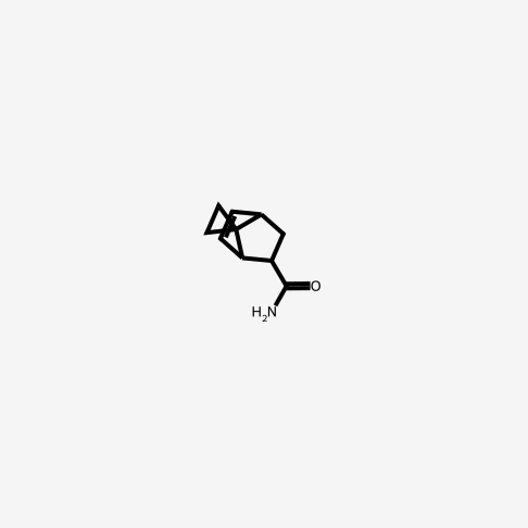 NC(=O)C1CC2C=CC1C21CC1